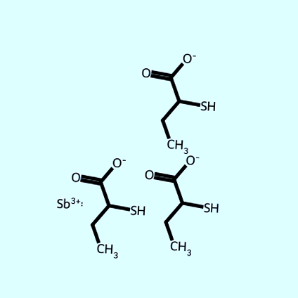 CCC(S)C(=O)[O-].CCC(S)C(=O)[O-].CCC(S)C(=O)[O-].[Sb+3]